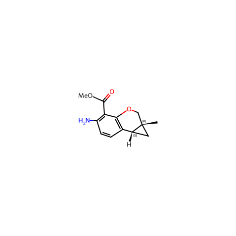 COC(=O)c1c(N)ccc2c1OC[C@]1(C)C[C@H]21